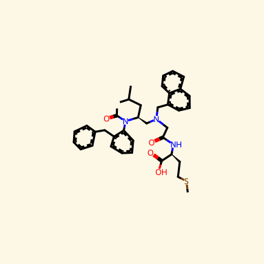 CSCC[C@H](NC(=O)CN(Cc1cccc2ccccc12)C[C@H](CC(C)C)N(C(C)=O)c1ccccc1Cc1ccccc1)C(=O)O